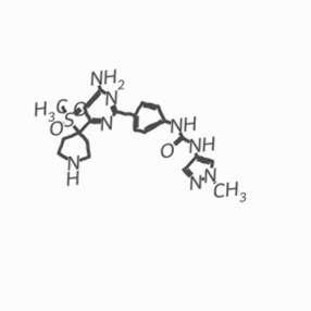 Cn1cc(NC(=O)Nc2ccc(-c3nc(N)cc(C4(S(C)(=O)=O)CCNCC4)n3)cc2)cn1